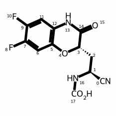 N#C[C@H](C[C@@H]1Oc2cc(F)c(F)cc2NC1=O)NC(=O)O